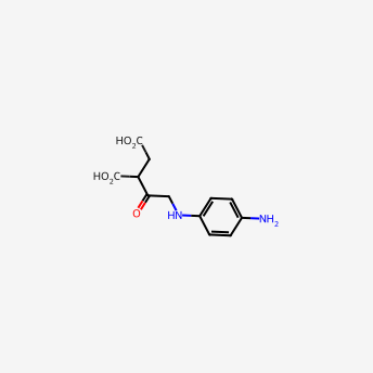 Nc1ccc(NCC(=O)C(CC(=O)O)C(=O)O)cc1